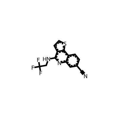 N#Cc1ccc2c(c1)nc(NCC(F)(F)F)c1ccsc12